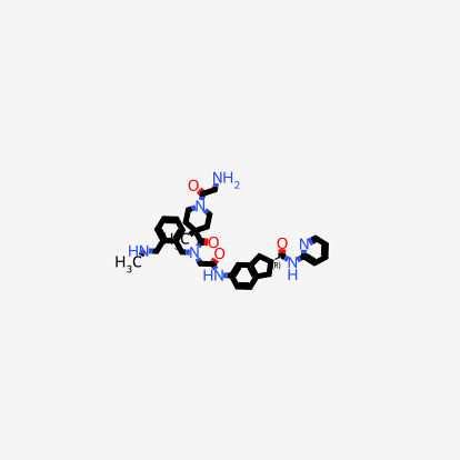 CNCc1ccccc1CN(CC(=O)Nc1ccc2c(c1)C[C@H](C(=O)Nc1ccccn1)C2)C(=O)C1(C)CCN(C(=O)CN)CC1